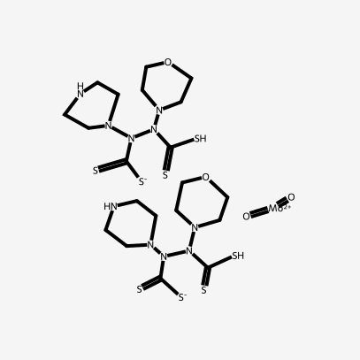 S=C([S-])N(N1CCNCC1)N(C(=S)S)N1CCOCC1.S=C([S-])N(N1CCNCC1)N(C(=S)S)N1CCOCC1.[O]=[Mo+2]=[O]